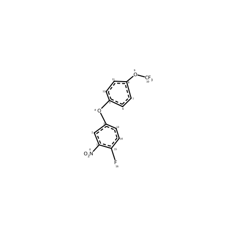 O=[N+]([O-])c1cc(Oc2ccc(OC(F)(F)F)cc2)ccc1F